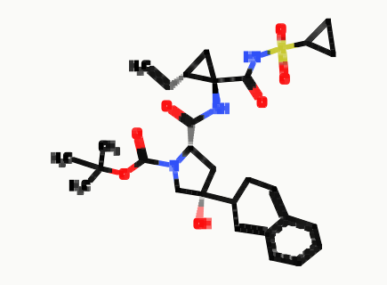 C=C[C@@H]1C[C@]1(NC(=O)[C@@H]1C[C@@](O)(C2C=c3ccccc3=CC2)CN1C(=O)OC(C)(C)C)C(=O)NS(=O)(=O)C1CC1